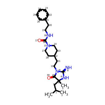 CC(C)CC1(C)NC(=N)N(CCC2CCN(C(=O)NCCc3ccccc3)CC2)C1=O